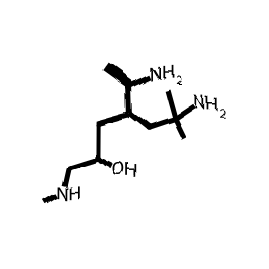 C=C(N)C(CC(O)CNC)CC(C)(C)N